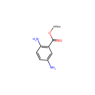 CCCCCCOC(=O)c1cc(N)ccc1N